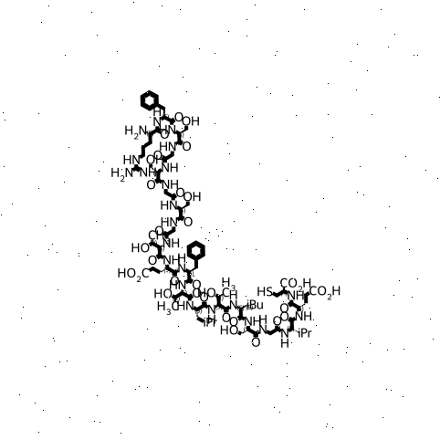 CC[C@H](C)[C@H](NC(=O)[C@@H](NC(=O)[C@H](CC(C)C)NC(=O)[C@@H](NC(=O)[C@H](Cc1ccccc1)NC(=O)[C@H](CCC(=O)O)NC(=O)[C@@H](NC(=O)CNC(=O)[C@H](CO)NC(=O)CNC(=O)[C@H](CO)NC(=O)CNC(=O)[C@H](CO)NC(=O)[C@H](Cc1ccccc1)NC(=O)[C@@H](N)CCCNC(=N)N)[C@@H](C)O)[C@@H](C)O)[C@@H](C)O)C(=O)N[C@@H](CO)C(=O)NCC(=O)N[C@H](C(=O)N[C@@H](CCC(=O)O)C(=O)N[C@@H](CS)C(=O)O)C(C)C